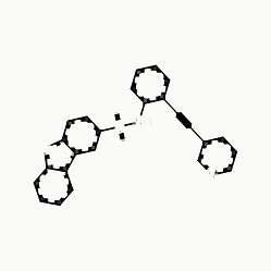 O=S(=O)(Nc1ccccc1C#Cc1cccnc1)c1ccc2oc3ccccc3c2c1